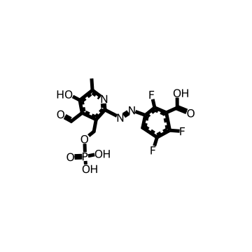 Cc1nc(N=Nc2cc(F)c(F)c(C(=O)O)c2F)c(COP(=O)(O)O)c(C=O)c1O